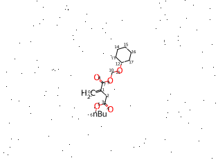 C=C(CC(=O)OCCCC)C(=O)OCOC1CCCCC1